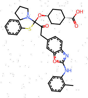 Cc1ccccc1Nc1nc2ccc(CC(=O)C(O[C@H]3CC[C@H](C(=O)O)CC3)(Sc3ccccc3)N3CCCC3)cc2o1